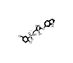 CCn1c(Oc2ccc3cc[nH]c3c2)nnc1[C@@H](C)NS(=O)(=O)c1cc(Cl)ccc1Cl